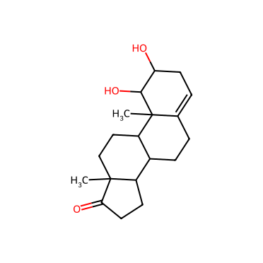 CC12CCC3C(CCC4=CCC(O)C(O)C43C)C1CCC2=O